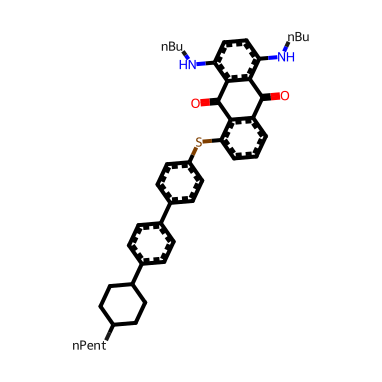 CCCCCC1CCC(c2ccc(-c3ccc(Sc4cccc5c4C(=O)c4c(NCCCC)ccc(NCCCC)c4C5=O)cc3)cc2)CC1